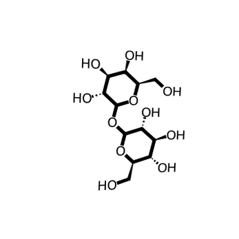 OC[C@H]1OC(OC2O[C@H](CO)[C@@H](O)[C@H](O)[C@H]2O)[C@H](O)[C@@H](O)[C@H]1O